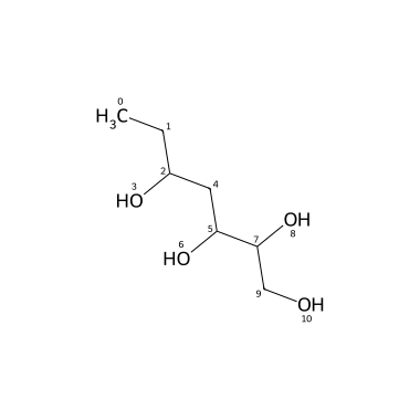 CCC(O)CC(O)C(O)CO